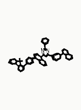 CC1(C)c2ccccc2-c2cccc(-c3ccc(-c4ccc(-c5cc(-c6cccc(-c7cccc8ccccc78)c6)nc(-c6ccccc6)n5)c5ccccc45)cc3)c21